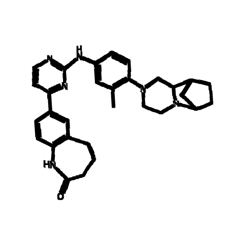 Cc1cc(Nc2nccc(-c3ccc4c(c3)CCCC(=O)N4)n2)ccc1N1CCN2C3CCC(C3)C2C1